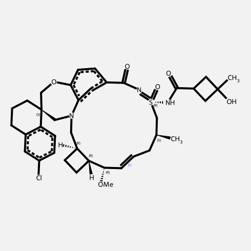 CO[C@H]1/C=C/C[C@H](C)C[S@@](=O)(NC(=O)C2CC(C)(O)C2)=NC(=O)c2ccc3c(c2)N(C[C@@H]2CC[C@H]21)C[C@@]1(CCCc2cc(Cl)ccc21)CO3